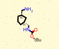 CC(C)(C)OC(=O)NC[C@@H]1CCC[C@@H](CN)C1